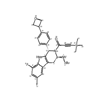 CCCCN[C@H]1Cc2c([nH]c3c(F)cc(F)cc23)[C@H](c2ccc(C3COC3)cc2)N1C(=O)C#C[Si](C)(C)C